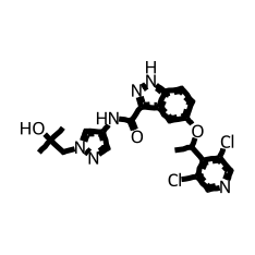 CC(Oc1ccc2[nH]nc(C(=O)Nc3cnn(CC(C)(C)O)c3)c2c1)c1c(Cl)cncc1Cl